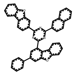 c1ccc(-c2cc(-c3nc(-c4ccc5ccccc5c4)nc(-c4ccc5c(c4)oc4ccccc45)n3)c3c(c2)oc2ccccc23)cc1